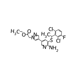 CCOC(=O)Cn1cc(-c2cnc(N)c(SC(C)c3c(Cl)ccc(F)c3Cl)c2)cn1